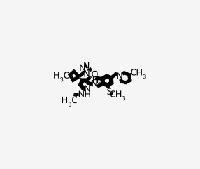 CCNc1cc([C@]2(c3nncn3C)C[C@@H](C)C2)cc(N2Cc3c(SC)cc(CN4CCC[C@H](C)C4)cc3C2=O)n1